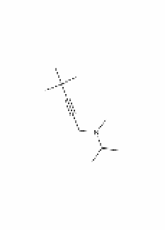 CC(C)N(C)CC#CC(C)(C)C